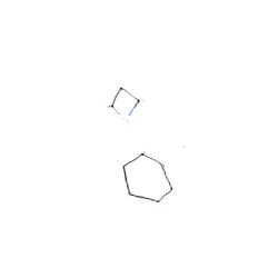 C[C@@H]1CCCC[C@@H]1N1CCC1